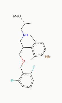 Br.CO[C@H](C)CNCC(COCc1c(F)cccc1F)c1c(C)cccc1C